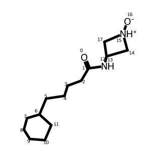 O=C(CCCCC1CCCCC1)NC1C[NH+]([O-])C1